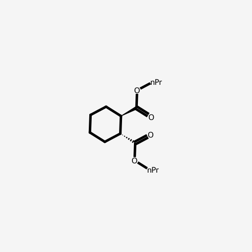 CCCOC(=O)[C@@H]1CCCC[C@H]1C(=O)OCCC